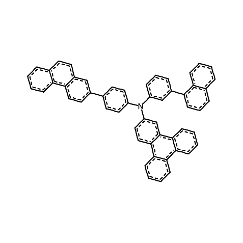 c1cc(-c2cccc3ccccc23)cc(N(c2ccc(-c3ccc4c(ccc5ccccc54)c3)cc2)c2ccc3c4ccccc4c4ccccc4c3c2)c1